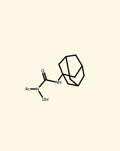 CC(=O)N(O)C(=O)NC12CC3CC(CC(C3)C1)C2